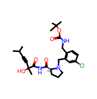 CC(C)C#CC(C)(O)C(=O)NC(=O)[C@@H]1CCCN1Cc1cc(Cl)ccc1CNC(=O)OC(C)(C)C